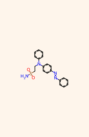 NS(=O)(=O)CCN(c1ccccc1)c1ccc(N=Nc2ccccc2)cc1